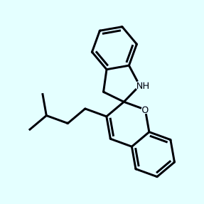 CC(C)CCC1=Cc2ccccc2OC12Cc1ccccc1N2